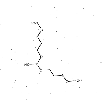 CCCCCCCCOSCCOP(O)OCCSOCCCCCCCC